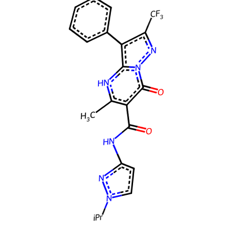 Cc1[nH]c2c(-c3ccccc3)c(C(F)(F)F)nn2c(=O)c1C(=O)Nc1ccn(C(C)C)n1